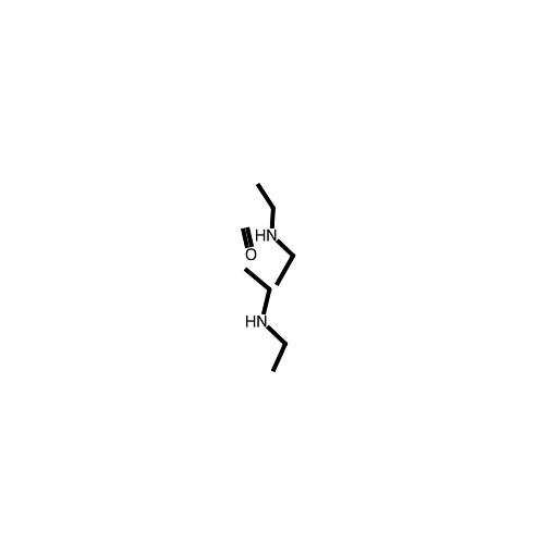 C=O.CCNCC.CCNCC